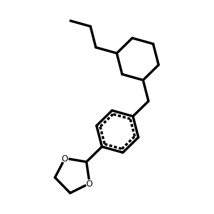 CCCC1CCCC(Cc2ccc(C3OCCO3)cc2)C1